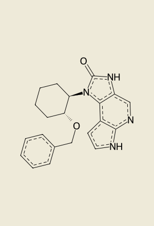 O=c1[nH]c2cnc3[nH]ccc3c2n1[C@@H]1CCCC[C@H]1OCc1ccccc1